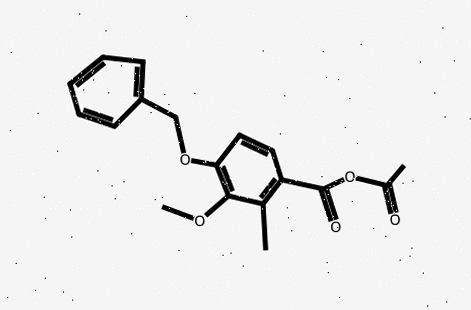 COc1c(OCc2ccccc2)ccc(C(=O)OC(C)=O)c1C